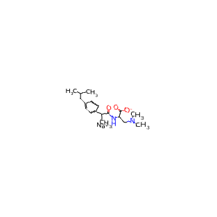 CC(C)Cc1ccc(C(C)C(=O)NC(CN(C)C)C(=O)[O-])cc1.[Na+]